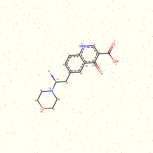 O=C(O)c1c[nH]c2ccc(C[C@H](I)N3CCOCC3)cc2c1=O